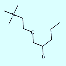 [Li][CH](CCC)COCC[Si](C)(C)C